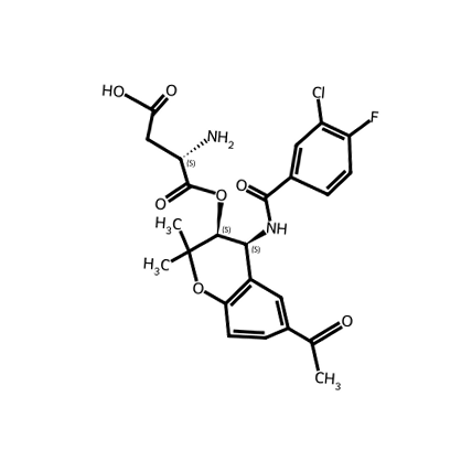 CC(=O)c1ccc2c(c1)[C@H](NC(=O)c1ccc(F)c(Cl)c1)[C@H](OC(=O)[C@@H](N)CC(=O)O)C(C)(C)O2